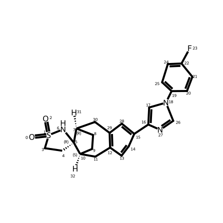 O=S1(=O)CC[C@]2(N1)[C@@H]1CC[C@H]2Cc2ccc(-c3cn(-c4ccc(F)cc4)cn3)cc2C1